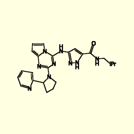 CC(C)CNC(=O)c1cc(Nc2nc(N3CCCC3c3ccccn3)nc3cccn23)n[nH]1